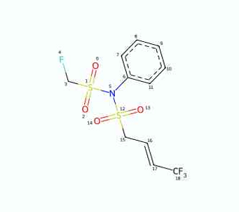 O=S(=O)(CF)N(c1ccccc1)S(=O)(=O)CC=CC(F)(F)F